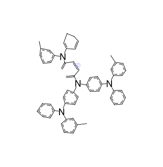 C=C(/C=C\C(=C)N(c1ccc(N(c2ccccc2)c2cccc(C)c2)cc1)c1ccc(N(c2ccccc2)c2cccc(C)c2)cc1)N(C1=CCCC=C1)c1cccc(C)c1